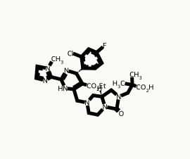 CCOC(=O)C1=C(CN2CCN3C(=O)N(CC(C)(C)C(=O)O)C[C@@H]3C2)NC(c2nccn2C)=N[C@@H]1c1ccc(F)cc1Cl